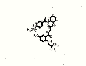 C=C(C)CNc1ccc(C(F)(F)F)cc1C(=O)NCC(=O)NC1CCCCC1NC(=O)c1ccc(S(C)(=O)=O)cc1